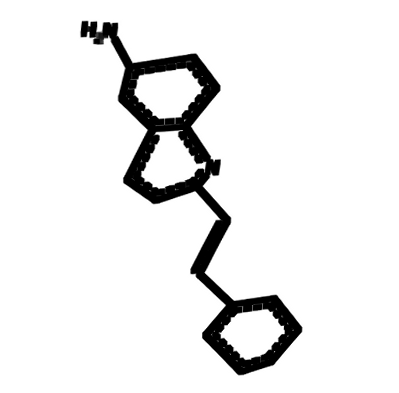 Nc1ccc2nc(C=Cc3ccccc3)ccc2c1